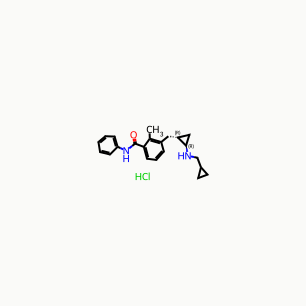 Cc1c(C[C@@H]2C[C@H]2NCC2CC2)cccc1C(=O)Nc1ccccc1.Cl